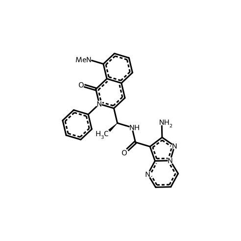 CNc1cccc2cc([C@H](C)NC(=O)c3c(N)nn4cccnc34)n(-c3ccccc3)c(=O)c12